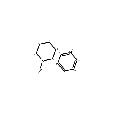 BrN1CCCCC1.c1ccncc1